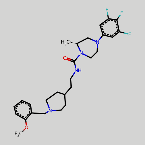 C[C@@H]1CN(c2cc(F)c(F)c(F)c2)CCN1C(=O)NCCC1CCN(Cc2ccccc2OC(F)(F)F)CC1